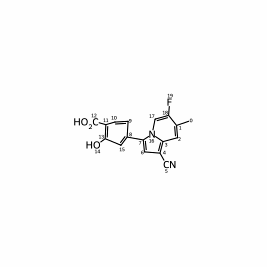 Cc1cc2c(C#N)cc(-c3ccc(C(=O)O)c(O)c3)n2cc1F